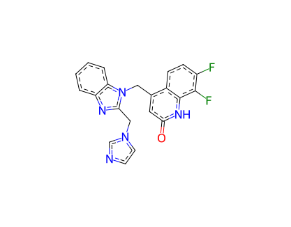 O=c1cc(Cn2c(Cn3ccnc3)nc3ccccc32)c2ccc(F)c(F)c2[nH]1